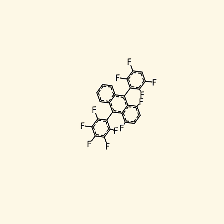 Fc1cc(F)c(F)c(-c2c3ccccc3c(-c3c(F)c(F)c(F)c(F)c3F)c3c(F)ccc(F)c23)c1F